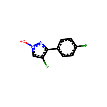 On1cc(Br)c(-c2ccc(F)cc2)n1